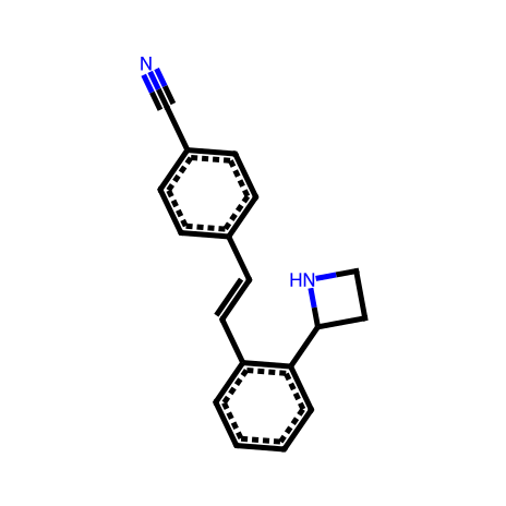 N#Cc1ccc(C=Cc2ccccc2C2CCN2)cc1